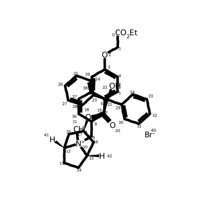 CCOC(=O)COc1ccc2cc(C[N+]3(C)[C@@H]4CC[C@H]3C[C@H](OC(=O)C(O)(c3ccccc3)c3ccccc3)C4)ccc2c1.[Br-]